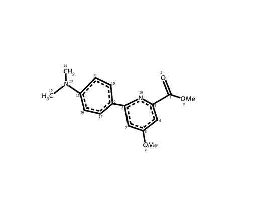 COC(=O)c1cc(OC)cc(-c2ccc(N(C)C)cc2)n1